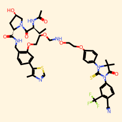 CC[C@H](NC(C)=O)C(=O)N1C[C@H](O)C[C@H]1C(=O)NCc1ccc(-c2scnc2C)cc1OCCOCNOCCOc1ccc(N2C(=S)N(c3ccc(C#N)c(C(F)(F)F)c3)C(=O)C2(C)C)cc1